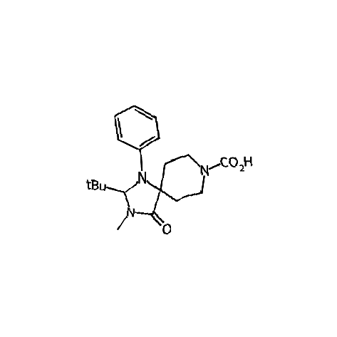 CN1C(=O)C2(CCN(C(=O)O)CC2)N(c2ccccc2)C1C(C)(C)C